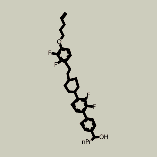 C=CCCCOc1ccc(CCC2CCC(c3ccc(-c4ccc(C(O)CCC)cc4)c(F)c3F)CC2)c(F)c1F